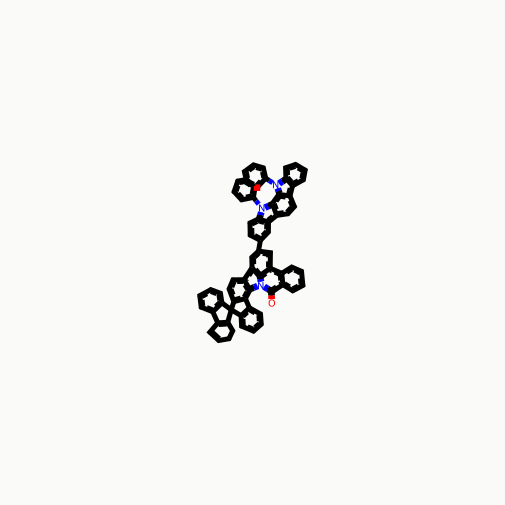 O=c1c2ccccc2c2cc(-c3ccc4c(c3)c3ccc5c6ccccc6n(-c6ccccc6)c5c3n4-c3ccccc3)cc3c4ccc5c(c4n1c23)-c1ccccc1C51C2=C(C=CCC2)c2ccccc21